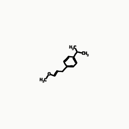 CO/C=C/Cc1ccc(C(C)C)cc1